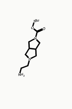 CC(C)(C)OC(=O)N1CC2CN(CCN)CC2C1